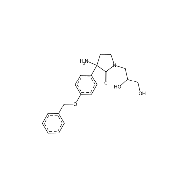 NC1(c2ccc(OCc3ccccc3)cc2)CCN(CC(O)CO)C1=O